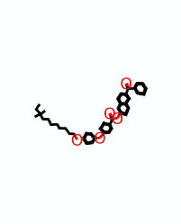 CCC(C)(C)CCCCCCCCOc1ccc(Oc2ccc(C(=O)Oc3ccc4cc(C(=O)c5ccccc5)ccc4c3)cc2)cc1